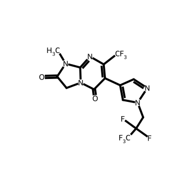 CN1C(=O)Cn2c1nc(C(F)(F)F)c(-c1cnn(CC(F)(F)C(F)(F)F)c1)c2=O